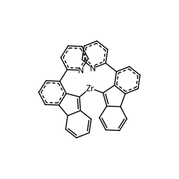 C1=CC2=[C]([Zr][C]3=C4C=CC=CC4c4cccc(-c5ccccn5)c43)c3c(-c4ccccn4)cccc3C2C=C1